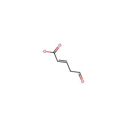 [O]C(=O)C=CCC=O